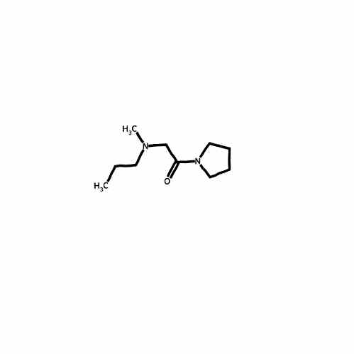 CCCN(C)CC(=O)N1CCCC1